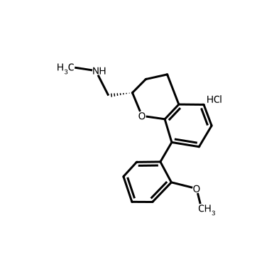 CNC[C@@H]1CCc2cccc(-c3ccccc3OC)c2O1.Cl